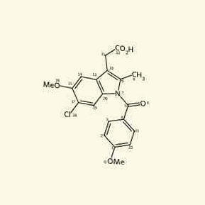 COc1ccc(C(=O)n2c(C)c(CC(=O)O)c3cc(OC)c(Cl)cc32)cc1